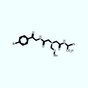 CC(C)C(NC(=O)CN(COC(C)(C)C)CC(=O)NCC(=O)c1ccc(Br)cc1)C(=O)O